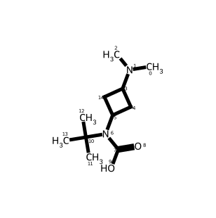 CN(C)C1CC(N(C(=O)O)C(C)(C)C)C1